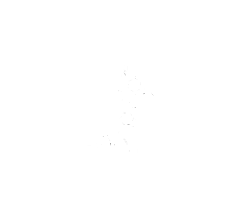 CC#CC(CC(=O)OC)c1ccc(OC2CCc3c(OC)ccc(OC)c32)cc1